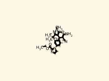 CCOC(=O)c1nccn1-c1ccc(C2C(C#N)=C(N)Oc3c2c(C(C)(C)C)nn3C)cc1